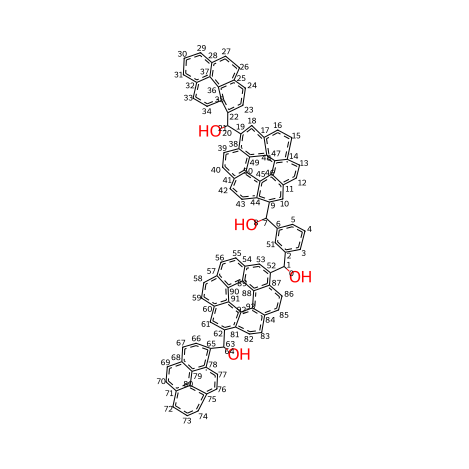 OC(c1cccc(C(O)c2cc3ccc4ccc5cc(C(O)c6ccc7ccc8cccc9ccc6c7c89)c6ccc7ccc2c2c3c4c5c6c72)c1)c1cc2ccc3ccc4cc(C(O)c5ccc6ccc7cccc8ccc5c6c78)c5ccc6ccc1c1c2c3c4c5c61